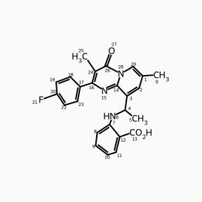 Cc1cc(C(C)Nc2ccccc2C(=O)O)c2nc(-c3ccc(F)cc3)c(C)c(=O)n2c1